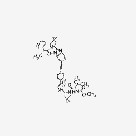 COC(=O)N[C@H](C(=O)N1CC2(CC2)C[C@H]1c1ncc(-c2ccc(C#Cc3ccc4nc([C@@H]5CC6(CC6)CN5C(=O)[C@H](C)c5cccnc5)[nH]c4c3)cc2)[nH]1)C(C)C